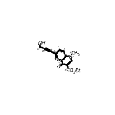 CCOC(=O)c1cn(C)c2ccc(C#CCO)nc2c1=O